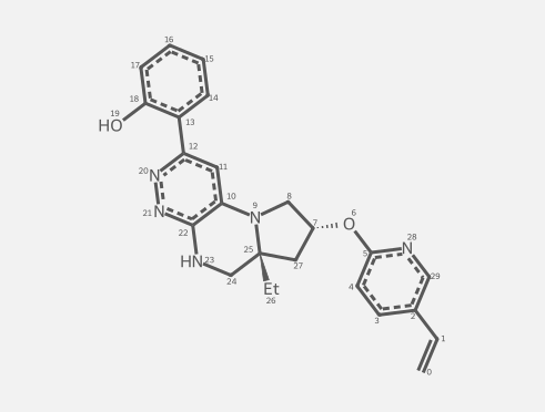 C=Cc1ccc(O[C@H]2CN3c4cc(-c5ccccc5O)nnc4NC[C@@]3(CC)C2)nc1